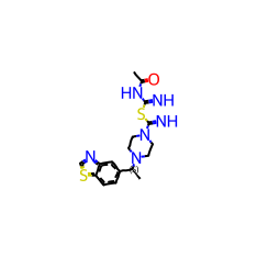 CC(=O)NC(=N)SC(=N)N1CCN([C@@H](C)c2ccc3scnc3c2)CC1